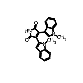 Cn1cc(C2=C(c3cc4ccccc4n3C)C(=O)NC2=O)c2ccccc21